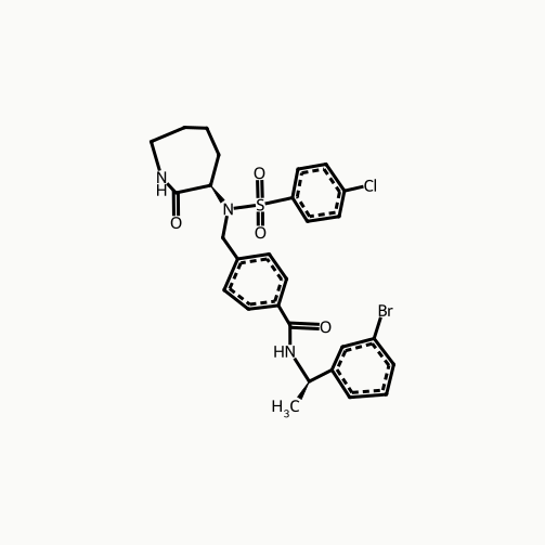 C[C@@H](NC(=O)c1ccc(CN([C@@H]2CCCCNC2=O)S(=O)(=O)c2ccc(Cl)cc2)cc1)c1cccc(Br)c1